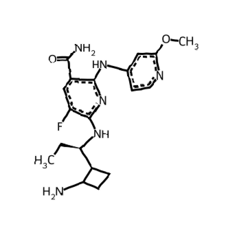 CC[C@@H](Nc1nc(Nc2ccnc(OC)c2)c(C(N)=O)cc1F)C1CCC1N